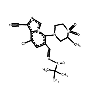 CC1CN(c2c(C=N[S+]([O-])C(C)(C)C)cc(Cl)c3c(C#N)ncn23)CCS1(=O)=O